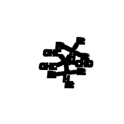 CC[PH](CC)(CC)[Ru]([CH]=O)([CH]=O)([CH]=O)[PH](CC)(CC)CC